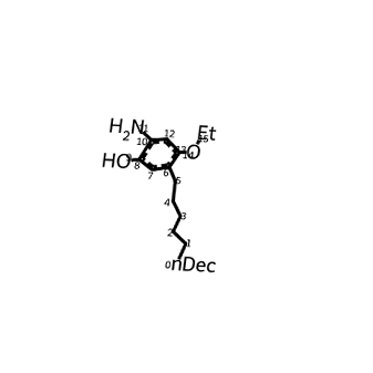 CCCCCCCCCCCCCCCc1cc(O)c(N)cc1OCC